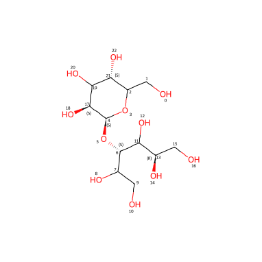 OCC1O[C@@H](O[C@@H](C(O)CO)C(O)[C@H](O)CO)[C@@H](O)C(O)[C@@H]1O